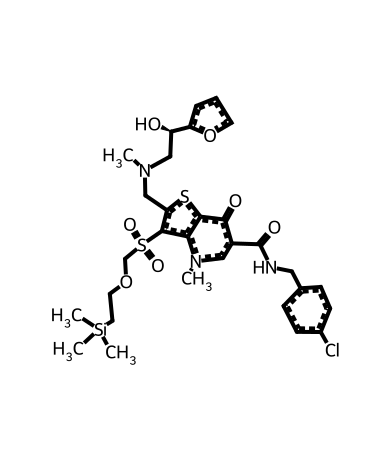 CN(Cc1sc2c(=O)c(C(=O)NCc3ccc(Cl)cc3)cn(C)c2c1S(=O)(=O)COCC[Si](C)(C)C)C[C@@H](O)c1ccco1